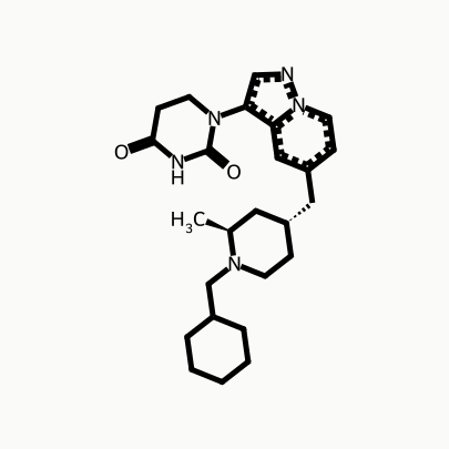 C[C@H]1C[C@H](Cc2ccn3ncc(N4CCC(=O)NC4=O)c3c2)CCN1CC1CCCCC1